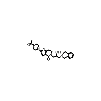 CC(=O)N1CCN(c2ccc3c(n2)CCN(CC(O)CN2CCc4ccccc4C2)C3=O)CC1